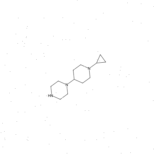 C1CN(C2CCN(C3CC3)CC2)CCN1